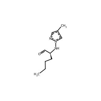 CCCC[C@@H](C=O)Nn1cc(C)cn1